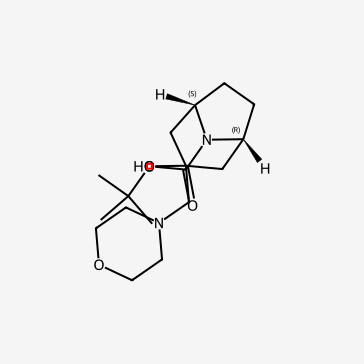 CC(C)(C)OC(=O)N1[C@@H]2CC[C@H]1CC(O)(CN1CCOCC1)C2